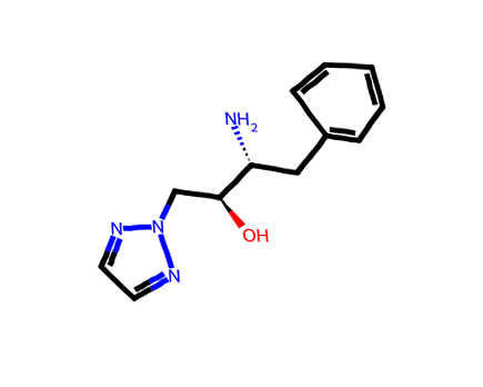 N[C@H](Cc1ccccc1)[C@@H](O)Cn1nccn1